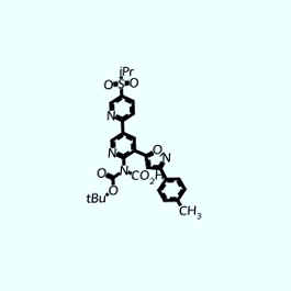 Cc1ccc(-c2cc(-c3cc(-c4ccc(S(=O)(=O)C(C)C)cn4)cnc3N(C(=O)O)C(=O)OC(C)(C)C)on2)cc1